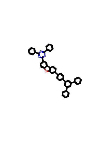 c1ccc(-c2cc(-c3ccccc3)cc(-c3ccc(-c4ccc5c(c4)oc4ccc(-c6nc(-c7ccccc7)nc(-c7ccccc7)n6)cc45)cc3)c2)cc1